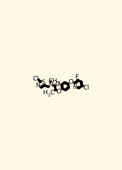 C[C@@H](Oc1ccc(Oc2ncc(Cl)cc2F)cc1)C(=O)N(C)Cc1cnc(Cl)s1